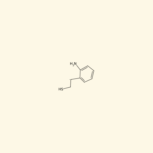 Nc1ccccc1[CH]CS